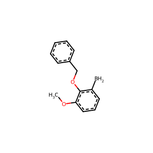 Bc1cccc(OC)c1OCc1ccccc1